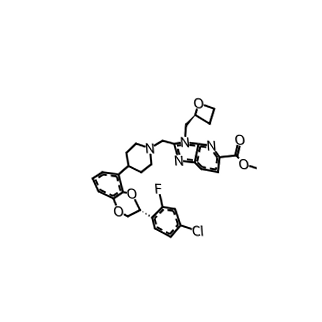 COC(=O)c1ccc2nc(CN3CCC(c4cccc5c4O[C@H](c4ccc(Cl)cc4F)CO5)CC3)n(C[C@@H]3CCO3)c2n1